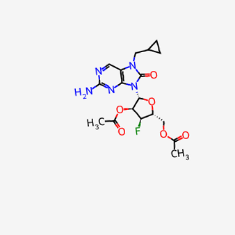 CC(=O)OC[C@H]1O[C@@H](n2c(=O)n(CC3CC3)c3cnc(N)nc32)[C@H](OC(C)=O)[C@@H]1F